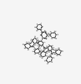 c1ccc(-c2cc(-c3ccc(-c4ccccc4-n4c5ccccc5c5ccccc54)c(-n4c5ccccc5c5c4ccc4c6ccccc6n(-c6ccccc6)c45)c3)nc(-c3ccccc3)n2)cc1